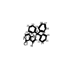 Clc1nccc2c1c(I)cn2C(c1ccccc1)(c1ccccc1)c1ccccc1